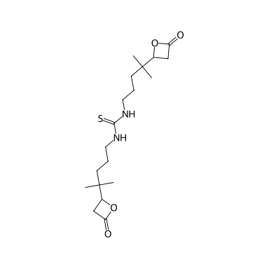 CC(C)(CCCNC(=S)NCCCC(C)(C)C1CC(=O)O1)C1CC(=O)O1